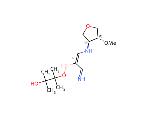 CO[C@H]1COC[C@@H]1N/C=C(/BOC(C)(C)C(C)(C)O)C=N